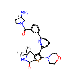 CC1(C)Cc2c(sc(N3CCOCC3)c2-c2cccc(-c3cccc(C(=O)N4CC[C@@H](N)C4)c3)n2)C(=O)N1